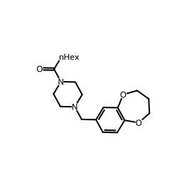 [CH2]CCCCCC(=O)N1CCN(Cc2ccc3c(c2)OCCCO3)CC1